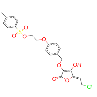 Cc1ccc(S(=O)(=O)OCCOc2ccc(COC3=C(O)C(=CCCl)OC3=O)cc2)cc1